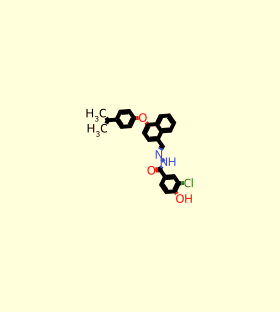 CC(C)c1ccc(Oc2ccc(/C=N/NC(=O)c3ccc(O)c(Cl)c3)c3ccccc23)cc1